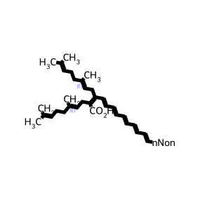 CCCCCCCCCC=CC=CC=CC=CC=CC(C/C=C(\C)CCC=C(C)C)=C(C/C=C(\C)CCC=C(C)C)C(=O)O